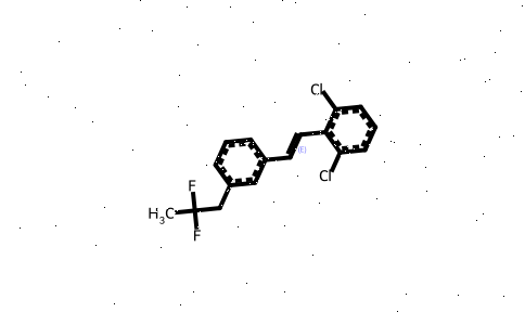 CC(F)(F)Cc1cccc(/C=C/c2c(Cl)cccc2Cl)c1